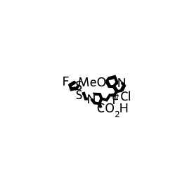 COc1ccc2ncc(Cl)c([C@H](F)CCC3CCN(CCSc4cc(F)cs4)CC3C(=O)O)c2c1